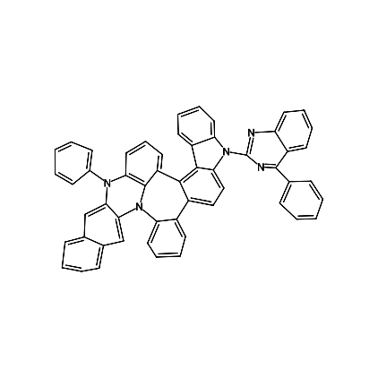 c1ccc(-c2nc(-n3c4ccccc4c4c5c(ccc43)-c3ccccc3N3c4cc6ccccc6cc4N(c4ccccc4)c4cccc-5c43)nc3ccccc23)cc1